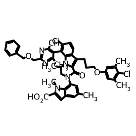 Cc1cc(N2CC(C)n3c(c(CCCOc4cc(C)c(Cl)c(C)c4)c4ccc(Cl)c(-c5c(C)nc(COCc6ccccc6)nc5C)c43)C2=O)c2c(c1)cc(C(=O)O)n2C